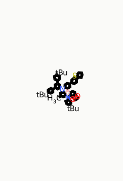 Cc1cc2c3c(c1)N(c1ccc(C(C)(C)C)cc1)c1c(ccc4c1OCCO4)B3c1cc(-c3ccc4c(c3)sc3ccccc34)ccc1N2c1cc(-c2ccc(C(C)(C)C)cc2)cc(-c2ccc(C(C)(C)C)cc2)c1